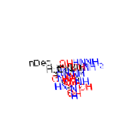 CCCCCCCCCCCCCCCC(=O)NCC(=O)N[C@@H](CO)C(O)N[C@@H](CO)C(=O)N[C@@H](CCCCNC(=N)N)C(O)N[C@@H](C(C)O)C(O)N[C@@H](CCCC)C(C)O